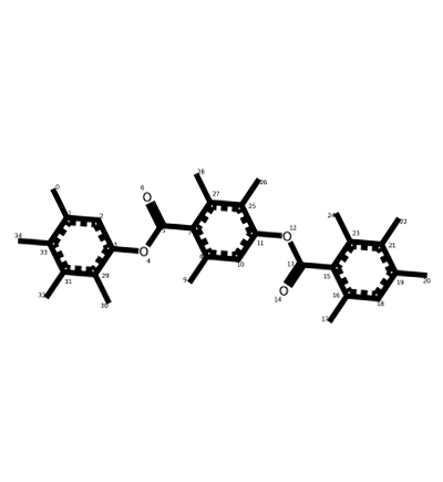 Cc1cc(OC(=O)c2c(C)cc(OC(=O)c3c(C)cc(C)c(C)c3C)c(C)c2C)c(C)c(C)c1C